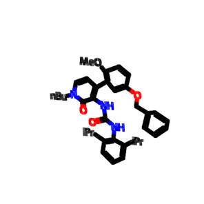 CCCCn1ccc(-c2cc(OCc3ccccc3)ccc2OC)c(NC(=O)Nc2c(C(C)C)cccc2C(C)C)c1=O